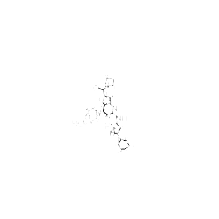 Cl.O=C(c1cc2nc(Nc3cc(-c4ccccc4)n[nH]3)nc(N3CCOCC3)c2o1)N1CCC1